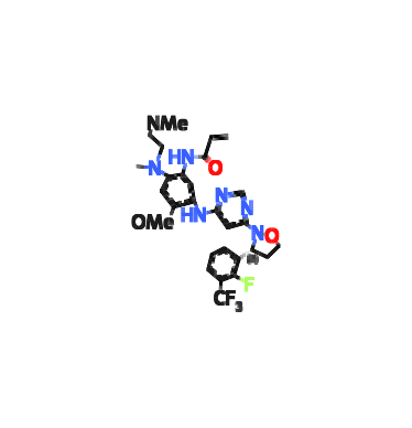 C=CC(=O)Nc1cc(Nc2cc(N3OCC[C@@H]3c3cccc(C(F)(F)F)c3F)ncn2)c(OC)cc1N(C)CCNC